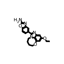 CCOc1cc2c3c(c1)nc(-c1ccc4oc(N)nc4c1)n3CCCCO2